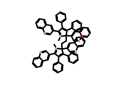 C[Si]1=C(c2cnc3ccccc3c2)C(c2ccccc2)=C(c2ccccc2)C1(CCC1(c2cnc3ccccc3c2)C(c2ccccc2)=C(c2ccccc2)C(c2cnc3ccccc3c2)=[Si]1C)c1cnc2ccccc2c1